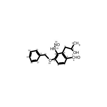 CC(O)Cc1c(C=O)ccc(OCc2ccccc2)c1NN=O